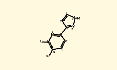 Cc1nc(-c2cc[nH]n2)ccc1F